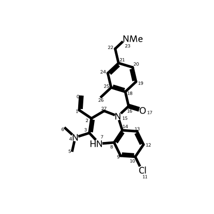 C=CC1=C(N(C)C)Nc2cc(Cl)ccc2N(C(=O)c2ccc(CNC)cc2C)C1